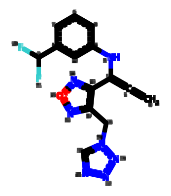 C=C=C(Nc1cccc(C(F)F)c1)c1nonc1Cn1cnnn1